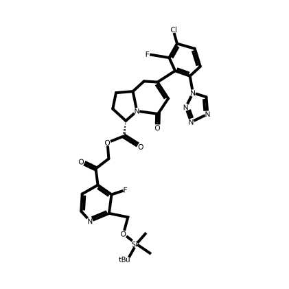 CC(C)(C)[Si](C)(C)OCc1nccc(C(=O)COC(=O)[C@@H]2CCC3CC(c4c(-n5cnnn5)ccc(Cl)c4F)=CC(=O)N32)c1F